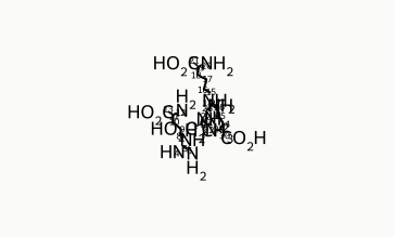 C[C@H](N)C(=O)O.N=C(N)NCCC[C@H](N)C(=O)O.NCCCC[C@H](N)C(=O)O.N[C@@H](Cc1c[nH]cn1)C(=O)O